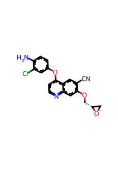 N#Cc1cc2c(Oc3ccc(N)c(Cl)c3)ccnc2cc1OC[C@@H]1CO1